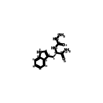 NBC(=O)N[C@@H](Cc1c[nH]c2ccccc12)C(N)=O